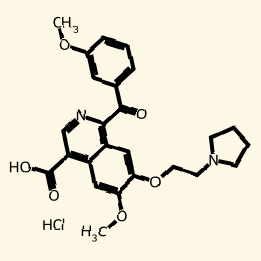 COc1cccc(C(=O)c2ncc(C(=O)O)c3cc(OC)c(OCCN4CCCC4)cc23)c1.Cl